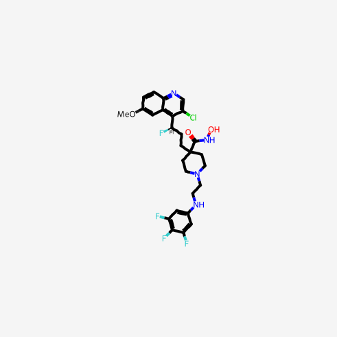 COc1ccc2ncc(Cl)c([C@H](F)CCC3(C(=O)NO)CCN(CCNc4cc(F)c(F)c(F)c4)CC3)c2c1